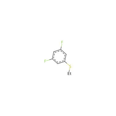 [CH2]CSc1cc(F)cc(F)c1